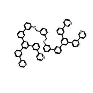 c1cc(COc2cccc(-c3cccc(-c4cc(-c5cccc(-c6cccnc6)c5)cc(-c5cccc(-c6cccnc6)c5)c4)c3)c2)cc(COc2cccc(-c3cccc(-c4cc(-c5cccc(-c6cccnc6)c5)cc(-c5cccc(-c6cccnc6)c5)c4)c3)c2)c1